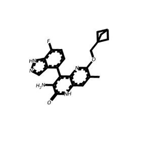 Cc1cc2[nH]c(=O)c(N)c(-c3ccc(F)c4[nH]ncc34)c2nc1OCC12CC(C1)C2